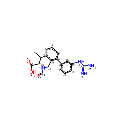 CC(CC(=O)O)c1cccc(-c2cccc(NC(=N)N)c2)c1CNC=O